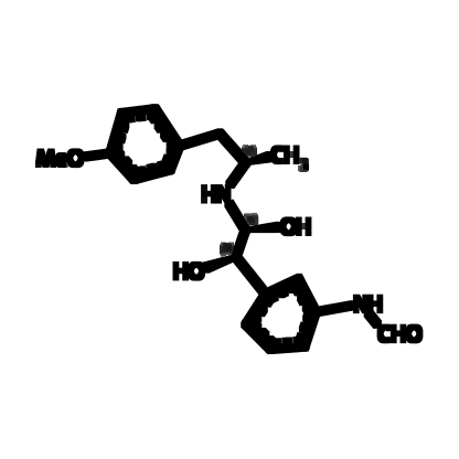 COc1ccc(C[C@@H](C)N[C@@H](O)[C@H](O)c2cccc(NC=O)c2)cc1